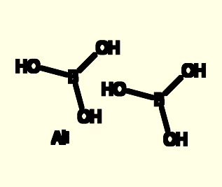 OB(O)O.OB(O)O.[Al]